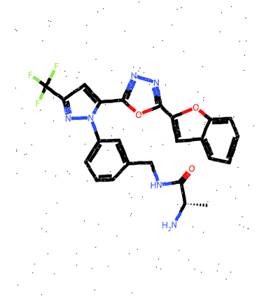 C[C@H](N)C(=O)NCc1cccc(-n2nc(C(F)(F)F)cc2-c2nnc(-c3cc4ccccc4o3)o2)c1